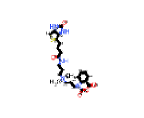 C[N+](C)(CCCNC(=O)CCCC1SCC2NC(=O)NC21)CCCn1c(=O)oc(=O)c2ccccc21